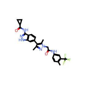 Cc1ccc(NC(=O)Cn2nc(C)c(-c3ccc4c(NC(=O)C5CC5)n[nH]c4c3)c2C)cc1C(F)(F)F